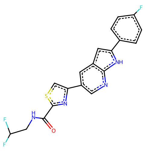 O=C(NCC(F)F)c1nc(-c2cnc3[nH]c(-c4ccc(F)cc4)cc3c2)cs1